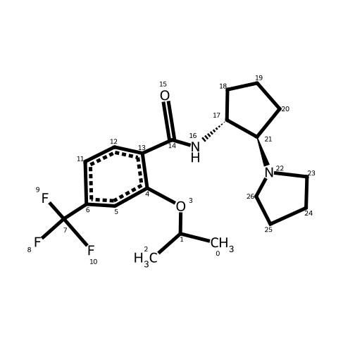 CC(C)Oc1cc(C(F)(F)F)ccc1C(=O)N[C@@H]1CCC[C@H]1N1CCCC1